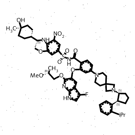 CO[C@H](C)COc1nc2[nH]cc(F)c2cc1Oc1cc(N2CCC3(CC2)CN([C@H]2CCC[C@H]2c2ccccc2C(C)C)C3)ccc1C(=O)NS(=O)(=O)c1cc2c(c([N+](=O)[O-])c1)N[C@@H]([C@H]1CC[C@](C)(O)CC1)CO2